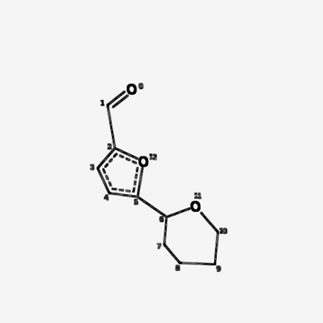 O=Cc1ccc(C2CCCCO2)o1